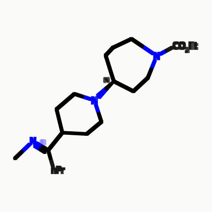 CCC/C(=N\C)C1CCN([C@H]2CCCN(C(=O)OCC)CC2)CC1